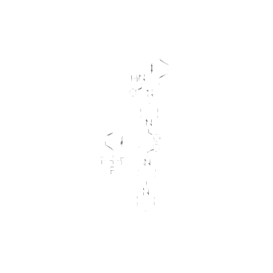 O=C(C[C@@H](Cc1ccccc1C(F)(F)F)C(=O)N1CCC(N2CCCCC2)CC1)N1CCC(N2Cc3ccccc3NC2=O)CC1